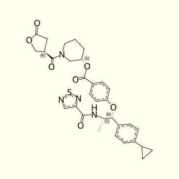 C[C@H](NC(=O)c1cnsn1)[C@H](Oc1ccc(C(=O)O[C@H]2CCCN(C(=O)[C@H]3COC(=O)C3)C2)cc1)c1ccc(C2CC2)cc1